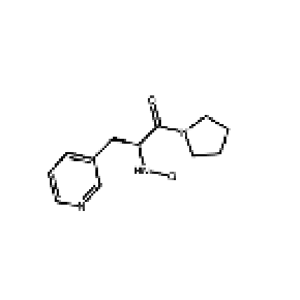 O=C([C@H](Cc1cccnc1)NCl)N1CCCC1